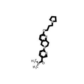 CN(C)C(=O)c1ccc(N2CCc3nc(OCCCN4CCCC4)ccc3C2)nc1